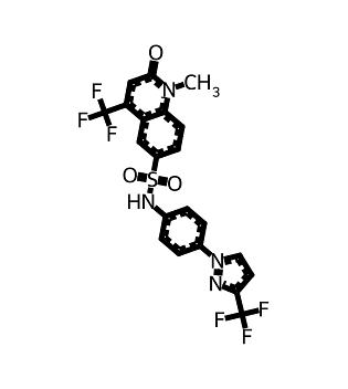 Cn1c(=O)cc(C(F)(F)F)c2cc(S(=O)(=O)Nc3ccc(-n4ccc(C(F)(F)F)n4)cc3)ccc21